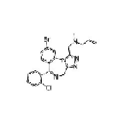 C=CCN(C)Cc1nnc2n1-c1cc(Br)ccc1C(c1ccccc1Cl)=NC2